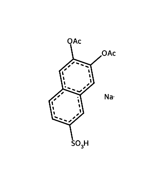 CC(=O)Oc1cc2ccc(S(=O)(=O)O)cc2cc1OC(C)=O.[Na]